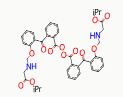 CC(C)OC(=O)CNCOc1ccccc1C(=O)c1ccccc1C(=O)OOC(=O)c1ccccc1C(=O)c1ccccc1OCNCC(=O)OC(C)C